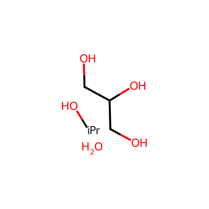 CC(C)O.O.OCC(O)CO